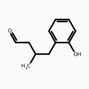 CC(CC=O)Cc1ccccc1O